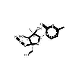 Cc1ccn([C@@H]2O[C@@](CO)(N=[N+]=[N-])[C@@H](O)[C@@]2(C)O)c(=O)n1